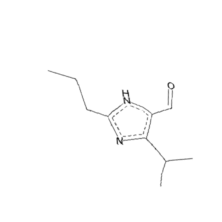 CCCc1nc(C(C)C)c(C=O)[nH]1